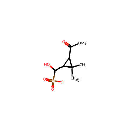 COC(=O)C1C(C(O)S(=O)(=O)[O-])C1(C)C.[K+]